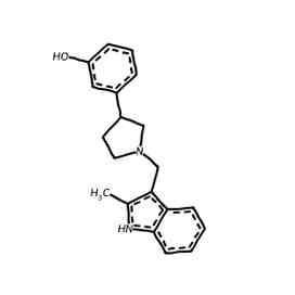 Cc1[nH]c2ccccc2c1CN1CCC(c2cccc(O)c2)C1